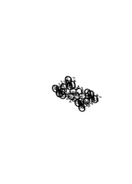 O=c1c2ccc3cc4c5c([N+](=O)[O-])ccc([N+](=O)[O-])c5c(=O)c5ccc6cc(c7c([N+](=O)[O-])ccc([N+](=O)[O-])c17)c2c3c6c54